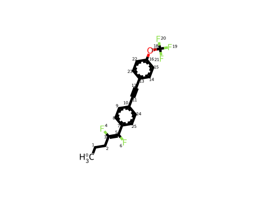 CCCC(F)=C(F)c1ccc(C#Cc2ccc(OC(F)(F)F)cc2)cc1